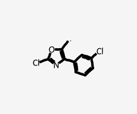 [CH2]c1oc(Cl)nc1-c1cccc(Cl)c1